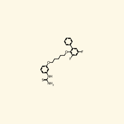 NC(=S)Nc1cccc(OCCCCCOc2c(F)cc(F)cc2-c2ccccc2)c1